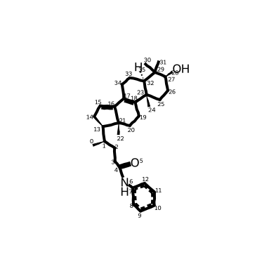 C[C@H](CCC(=O)Nc1ccccc1)[C@H]1CC=C2C3=C(CC[C@@]21C)[C@@]1(C)CC[C@H](O)C(C)(C)[C@@H]1CC3